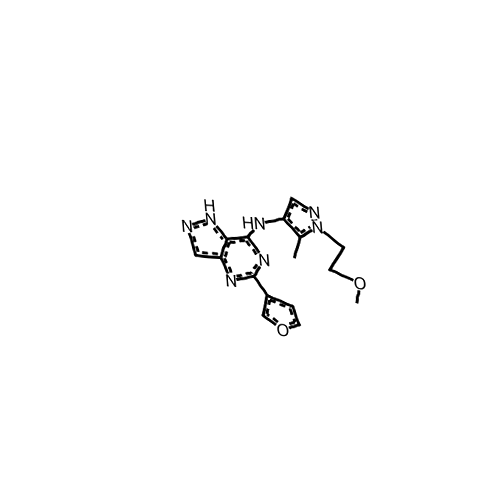 COCCn1ncc(Nc2nc(-c3ccoc3)nc3cn[nH]c23)c1C